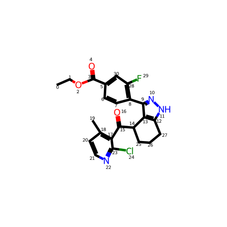 CCOC(=O)c1ccc(-c2n[nH]c3c2C(C(=O)c2c(C)ccnc2Cl)CCC3)c(F)c1